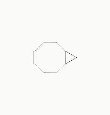 C1#CCCC2C[C]2CC1